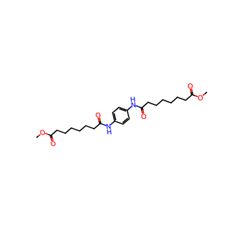 COC(=O)CCCCCCC(=O)Nc1ccc(NC(=O)CCCCCCC(=O)OC)cc1